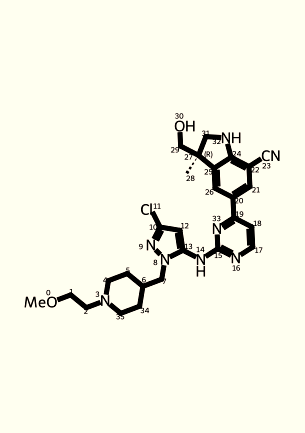 COCCN1CCC(Cn2nc(Cl)cc2Nc2nccc(-c3cc(C#N)c4c(c3)[C@@](C)(CO)CN4)n2)CC1